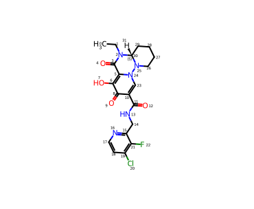 CCN1C(=O)c2c(O)c(=O)c(C(=O)NCc3nccc(Cl)c3F)cn2N2CCCC[C@@H]12